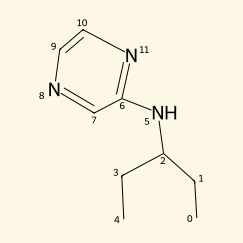 CCC(CC)Nc1cnccn1